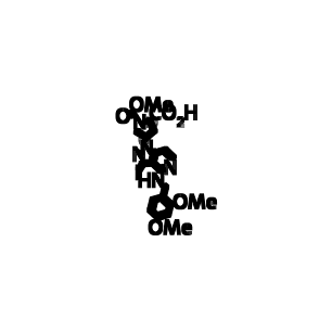 COC(=O)N1C[C@@H](n2nc(I)c3c(NCc4ccc(OC)cc4OC)nccc32)C[C@@H]1C(=O)O